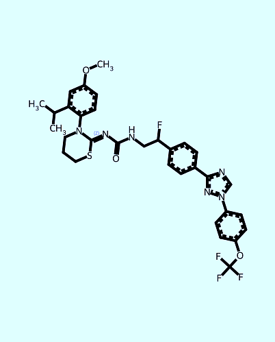 COc1ccc(N2CCCS/C2=N\C(=O)NCC(F)c2ccc(-c3ncn(-c4ccc(OC(F)(F)F)cc4)n3)cc2)c(C(C)C)c1